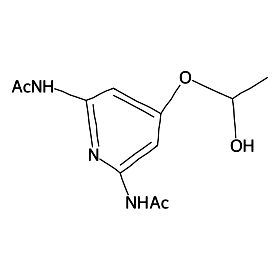 CC(=O)Nc1cc(OC(C)O)cc(NC(C)=O)n1